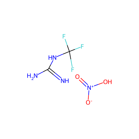 N=C(N)NC(F)(F)F.O=[N+]([O-])O